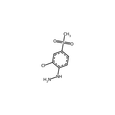 CS(=O)(=O)c1ccc(NN)c(Cl)c1